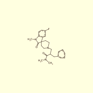 CN(C)C(=O)C(Cc1ccccc1)CN1CCC2(CC1)C(=O)N(C)c1ccc(F)cc12